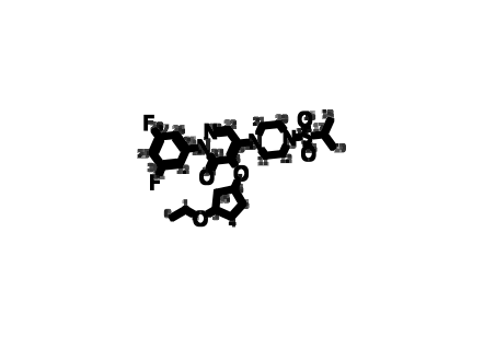 CCOC1CCC(Oc2c(N3CCN(S(=O)(=O)C(C)C)CC3)cnn(-c3cc(F)cc(F)c3)c2=O)C1